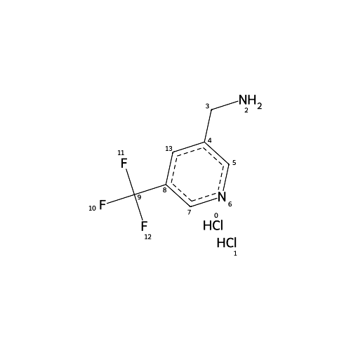 Cl.Cl.NCc1cncc(C(F)(F)F)c1